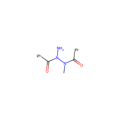 CC(C)C(=O)N(C)N(N)C(=O)C(C)C